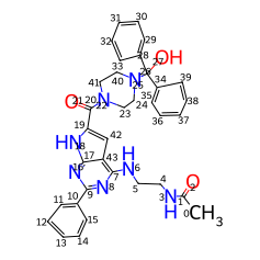 CC(=O)NCCNc1nc(-c2ccccc2)nc2[nH]c(C(=O)N3CCN(C(O)(c4ccccc4)c4ccccc4)CC3)cc12